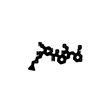 N#Cc1cnc(NC(=O)N2CCCc3cc(CN4CCOCC4=C=O)c(C=O)nc32)cc1NCCOCC1CC1